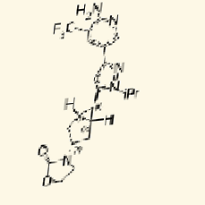 CC(C)n1nc(-c2cnc(N)c(C(F)(F)F)c2)cc1[C@H]1[C@@H]2C[C@H](N3CCOC3=O)C[C@@H]21